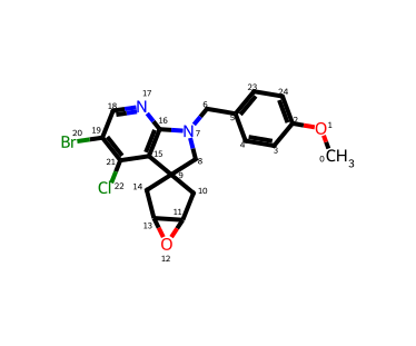 COc1ccc(CN2CC3(CC4OC4C3)c3c2ncc(Br)c3Cl)cc1